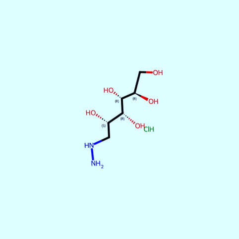 Cl.NNC[C@H](O)[C@@H](O)[C@H](O)[C@H](O)CO